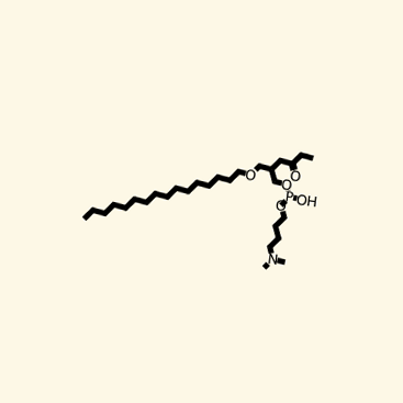 CCCCCCCCCCCCCCCCOCC(COP(O)OCCCCN(C)C)CC(=O)CC